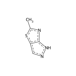 Cc1nc2[nH]ncc2s1